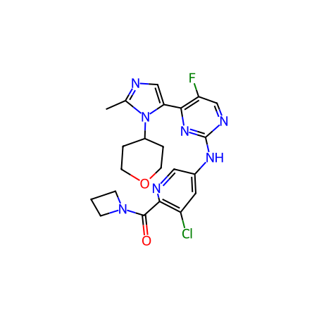 Cc1ncc(-c2nc(Nc3cnc(C(=O)N4CCC4)c(Cl)c3)ncc2F)n1C1CCOCC1